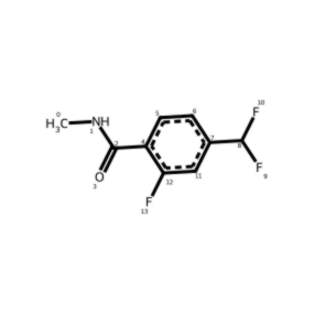 CNC(=O)c1ccc(C(F)F)cc1F